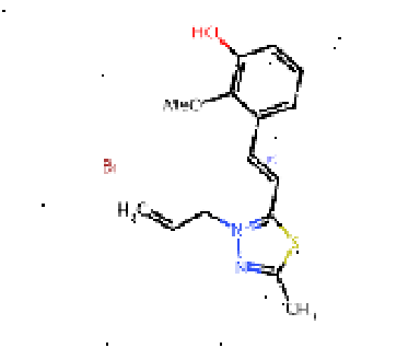 C=CC[n+]1nc(C)sc1/C=C/c1cccc(O)c1OC.[Br-]